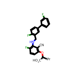 CC(C)C(Oc1ccc(F)c(NCc2cc(-c3cccc(F)c3)ccc2F)c1C#N)C(=O)O